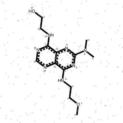 COCCNc1nc(N(C)C)nc2c(NCCO)ncnc12